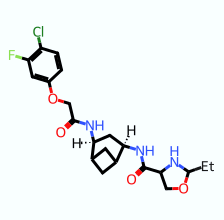 CCC1NC(C(=O)N[C@@H]2C[C@H](NC(=O)COc3ccc(Cl)c(F)c3)C3CC2C3)CO1